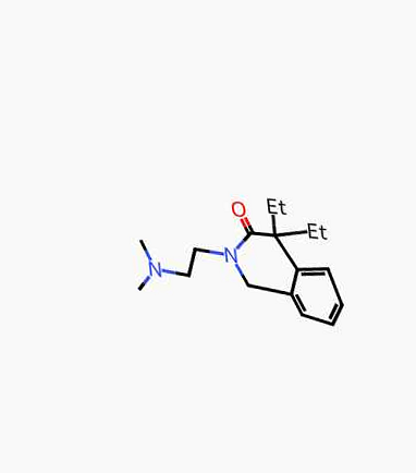 CCC1(CC)C(=O)N(CCN(C)C)Cc2ccccc21